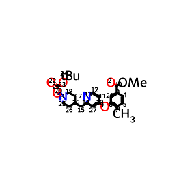 COC(=O)c1ccc(C)c(Oc2ccnc(CC3CCN(OC(=O)OC(C)(C)C)CC3)c2)c1